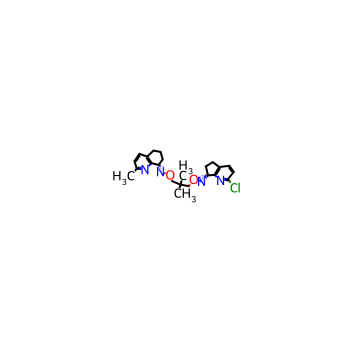 Cc1ccc2c(n1)/C(=N/OCC(C)(C)CO/N=C1\CCc3ccc(Cl)nc31)CCC2